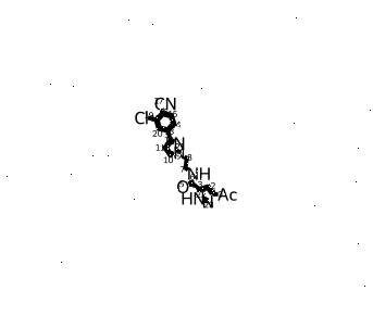 CC(=O)c1cc(C(=O)NCCn2ccc(-c3ccc(C#N)c(Cl)c3)n2)[nH]n1